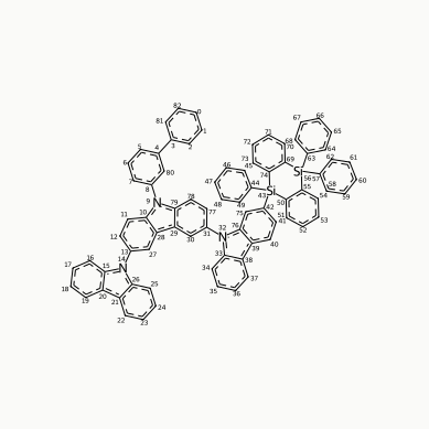 c1ccc(-c2cccc(-n3c4ccc(-n5c6ccccc6c6ccccc65)cc4c4cc(-n5c6ccccc6c6ccc([Si]7(c8ccccc8)c8ccccc8[Si](c8ccccc8)(c8ccccc8)c8ccccc87)cc65)ccc43)c2)cc1